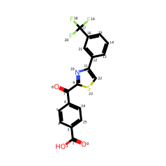 O=C(O)c1ccc(C(=O)c2nc(-c3cccc(C(F)(F)F)c3)cs2)cc1